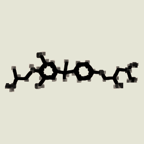 CCCN(CCC)CC(C#N)COc1ccc(C(C)(C)c2cc(Cl)c(OCC(C)OC(C)=O)c(Cl)c2)cc1